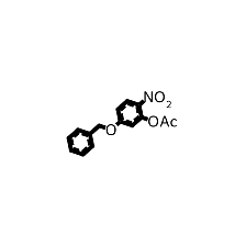 CC(=O)Oc1cc(OCc2ccccc2)ccc1[N+](=O)[O-]